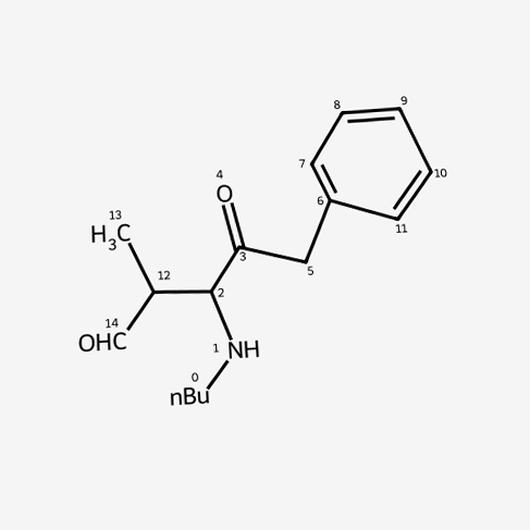 CCCCNC(C(=O)Cc1ccccc1)C(C)C=O